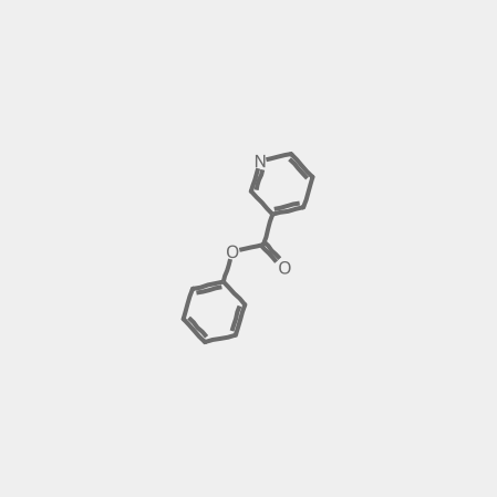 O=C(Oc1ccccc1)c1cccnc1